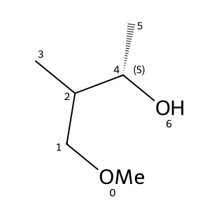 COCC(C)[C@H](C)O